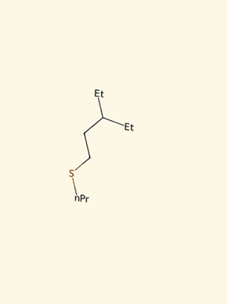 CCCSCCC(CC)CC